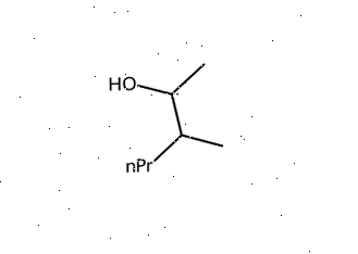 CCCC(C)[C](C)O